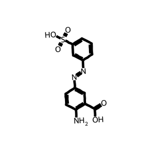 Nc1ccc(N=Nc2cccc(S(=O)(=O)O)c2)cc1C(=O)O